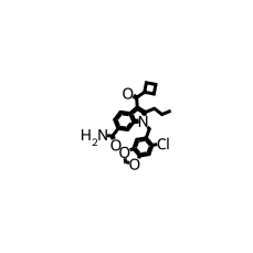 CCCc1c(C(=O)C2CCC2)c2ccc(C(N)=O)cc2n1Cc1cc2c(cc1Cl)OCO2